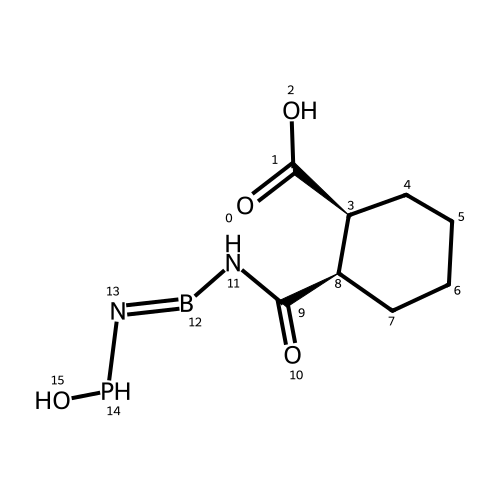 O=C(O)[C@H]1CCCC[C@H]1C(=O)NB=NPO